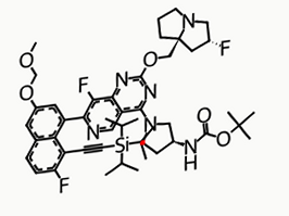 COCOc1cc(-c2ncc3c(N4CC[C@H](NC(=O)OC(C)(C)C)C4)nc(OC[C@@]45CCCN4C[C@H](F)C5)nc3c2F)c2c(C#C[Si](C(C)C)(C(C)C)C(C)C)c(F)ccc2c1